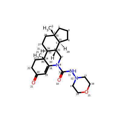 C[C@@]12CCC[C@H]1[C@@H]1CN(C(=O)NN3CCOCC3)C3=CC(=O)CC[C@]3(C)[C@H]1CC2